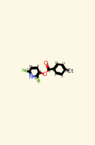 CCc1ccc(C(=O)Oc2ccc(F)nc2F)cc1